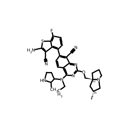 CCN(c1nc(OC[C@@]23CCCN2C[C@H](F)C3)nc2c(C#N)c(-c3ccc(F)c4sc(N)c(C#N)c34)ccc12)C1CCNC1C